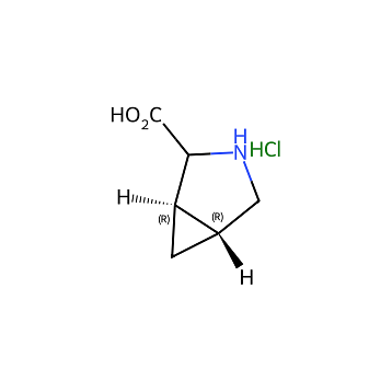 Cl.O=C(O)C1NC[C@@H]2C[C@@H]12